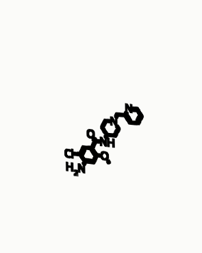 COc1cc(N)c(Cl)cc1C(=O)NC1CCN(Cc2ccccn2)CC1